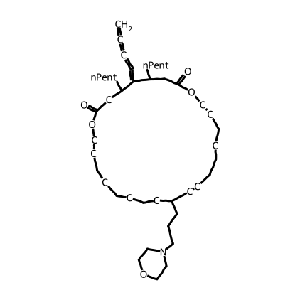 C=C=C=C=C1C(CCCCC)CC(=O)OCCCCCCCCC(CCCN2CCOCC2)CCCCCCCCOC(=O)CC1CCCCC